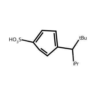 CC(C)C(c1ccc(S(=O)(=O)O)cc1)C(C)(C)C